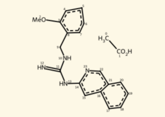 CC(=O)O.COc1ccccc1CNC(=N)Nc1cc2ccccc2cn1